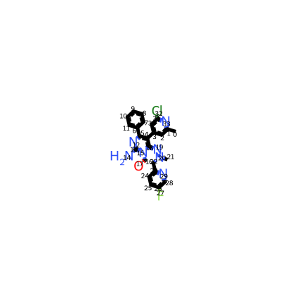 Cc1cc(-c2c(-c3ccccc3)nc(N)n(C=O)/c2=N\N(C)Cc2ccc(F)cn2)cc(Cl)n1